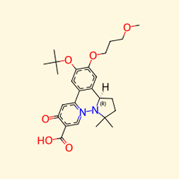 COCCCOc1cc2c(cc1OC(C)(C)C)-c1cc(=O)c(C(=O)O)cn1N1[C@@H]2CCC1(C)C